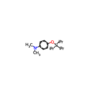 CC(C)[Si](Oc1ccc(N(C)C)cc1)(C(C)C)C(C)C